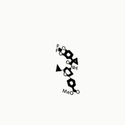 COC(=O)c1ccc([C@H]2CC(NC(=O)C3(c4ccc5c(c4)OC(F)(F)O5)CC3)C[C@@H](C3CC3)O2)cc1